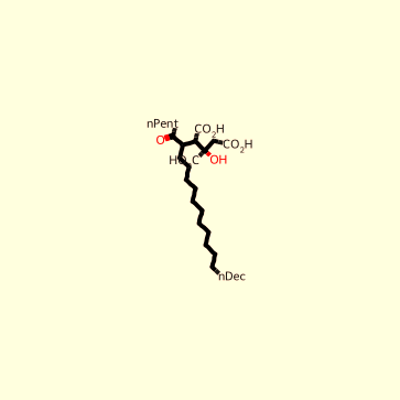 CCCCCCCCCCCCCCCCCCCCCC(C(=O)CCCCC)C(C(=O)O)C(O)(CC(=O)O)C(=O)O